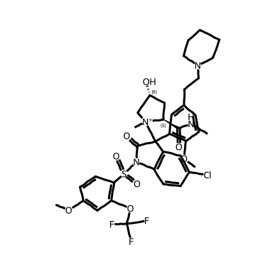 CNC(=O)[C@@H]1C[C@@H](O)C[N+]1(C)C1(c2cc(CCN3CCCCC3)ccc2OC)C(=O)N(S(=O)(=O)c2ccc(OC)cc2OC(F)(F)F)c2ccc(Cl)cc21